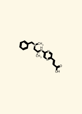 C[C@H](CN(C)Cc1ccccc1)Nc1cnc(C=CC(=O)O)cn1